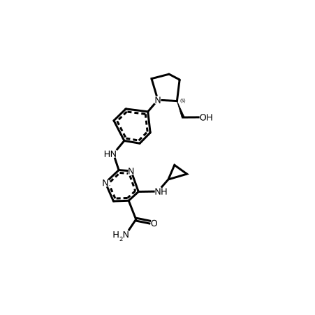 NC(=O)c1cnc(Nc2ccc(N3CCC[C@H]3CO)cc2)nc1NC1CC1